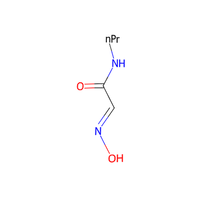 CCCNC(=O)C=NO